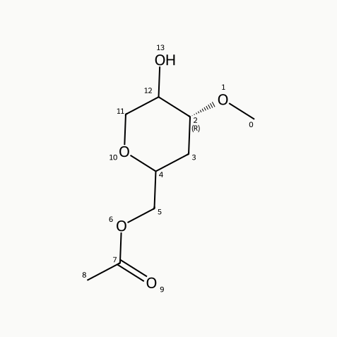 CO[C@@H]1CC(COC(C)=O)OCC1O